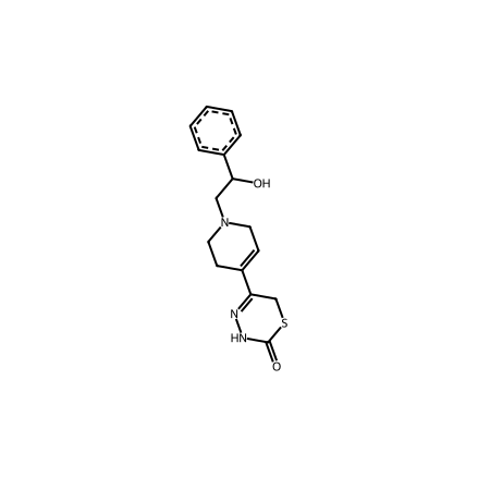 O=C1NN=C(C2=CCN(CC(O)c3ccccc3)CC2)CS1